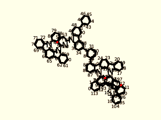 c1ccc(-c2cc(-c3ccccc3)cc(-n3c4ccccc4c4ccc5c6c(-c7cccc(-c8ccc9c(c8)c8cc(-c%10ccccc%10)ccc8n9-c8cccc(-n9c%10ccccc%10c%10ccc%11c%12ccccc%12n(-c%12ccccc%12)c%11c%109)n8)c7)cccc6n(-c6cccc(-c7cccc8c7sc7ccccc78)n6)c5c43)c2)cc1